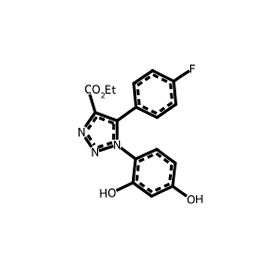 CCOC(=O)c1nnn(-c2ccc(O)cc2O)c1-c1ccc(F)cc1